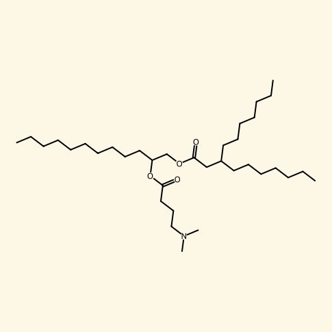 CCCCCCCCCCC(COC(=O)CC(CCCCCCC)CCCCCCC)OC(=O)CCCN(C)C